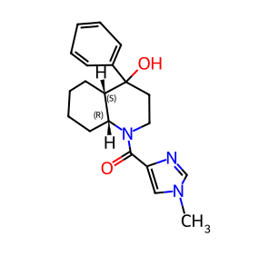 Cn1cnc(C(=O)N2CCC(O)(c3ccccc3)[C@H]3CCCC[C@H]32)c1